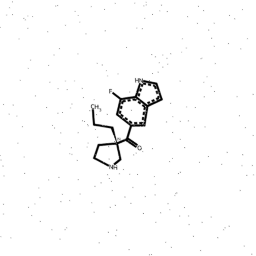 CCC[C@]1(C(=O)c2cc(F)c3[nH]ccc3c2)CCNC1